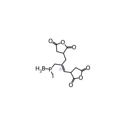 BP(I)C/C(=C/C1CC(=O)OC1=O)CC1CC(=O)OC1=O